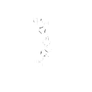 CNCc1ccc(N2CCN(Cc3ccc4c(c3)NC(=O)C3(CCC3)O4)CC2)c(F)n1